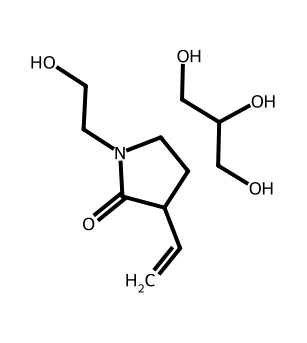 C=CC1CCN(CCO)C1=O.OCC(O)CO